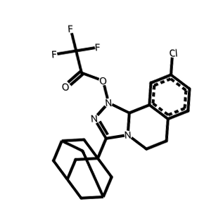 O=C(ON1N=C(C23CC4CC(CC(C4)C2)C3)N2CCc3ccc(Cl)cc3C12)C(F)(F)F